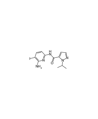 CC(C)n1nccc1C(=O)Nc1ccc(I)c(N)n1